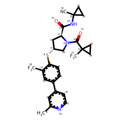 Cc1cc(-c2ccc(S[C@@H]3C[C@@H](C(=O)NC4(C#N)CC4)N(C(=O)C4(C(F)(F)F)CC4)C3)c(C(F)(F)F)c2)ccn1